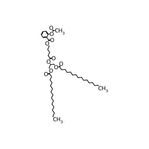 CCCCCCCCCCCCCCCC(=O)OCC(COC(=O)CCCCCCCCCCCCCCC)OC(=O)CCCCOC(=O)c1ccccc1OC(C)=O